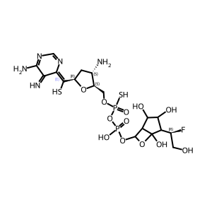 N=C1C(N)=NC=N/C1=C(/S)[C@H]1C[C@H](N)[C@@H](COP(=O)(S)OP(=O)(O)OC2OC3(O)C2C(O)C(O)C3[C@@H](F)CO)O1